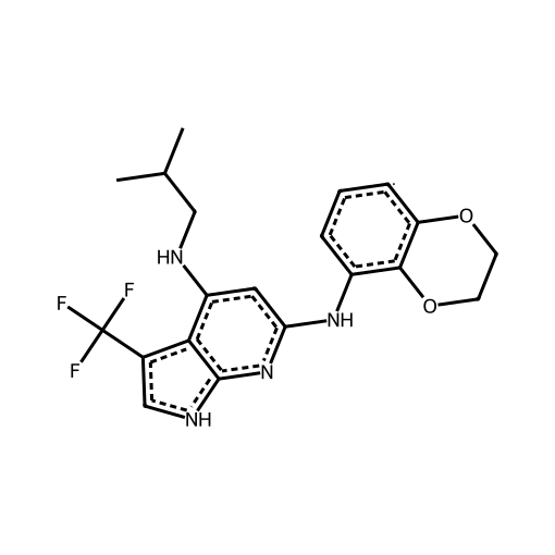 CC(C)CNc1cc(Nc2cc[c]c3c2OCCO3)nc2[nH]cc(C(F)(F)F)c12